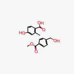 COC(=O)c1ccc(CO)cc1.Cc1cc(O)ccc1C(=O)O